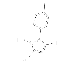 Cc1ccc(-c2c(Cl)nc(C#N)n2O)cc1